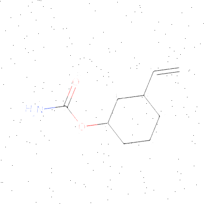 C=CC1CCCC(OC(N)=O)C1